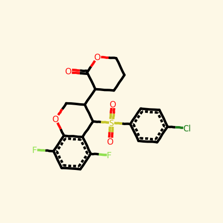 O=C1OCCCC1C1COc2c(F)ccc(F)c2C1S(=O)(=O)c1ccc(Cl)cc1